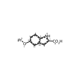 CC(C)Oc1ccc2[nH]c(C(=O)O)cc2c1